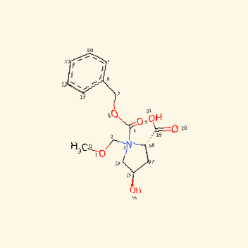 COC[N+]1(C(=O)OCc2ccccc2)C[C@H](O)C[C@H]1C(=O)O